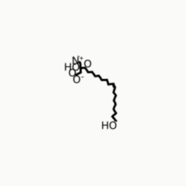 C[N+](C)(C)CC(O)(CC(=O)[O-])C(=O)CCCCCCC/C=C\CCCCCCCCO